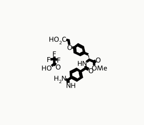 COC(=O)[C@@H](Cc1ccc(OCC(=O)O)cc1)NC(=O)c1ccc(C(=N)N)cc1.O=C(O)C(F)(F)F